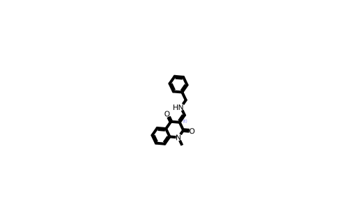 CN1C(=O)/C(=C/NCc2ccccc2)C(=O)c2ccccc21